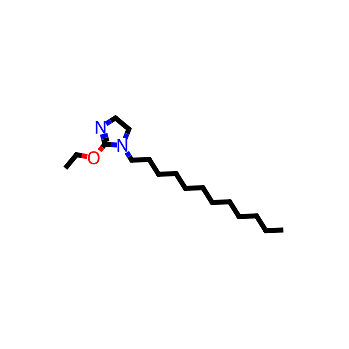 CCCCCCCCCCCCN1CCN=C1OCC